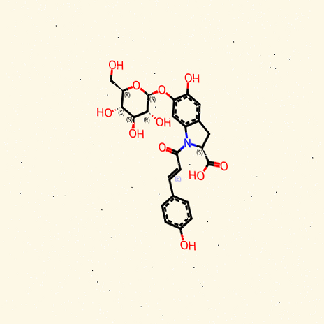 O=C(O)[C@@H]1Cc2cc(O)c(O[C@@H]3O[C@H](CO)[C@@H](O)[C@H](O)[C@H]3O)cc2N1C(=O)/C=C/c1ccc(O)cc1